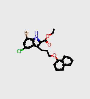 CCOC(=O)c1[nH]c2c(Br)cc(Cl)cc2c1CCCOc1cccc2ccccc12